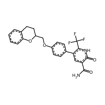 NC(=O)c1cc(-c2ccc(OCC3CCc4ccccc4O3)cc2)c(C(F)(F)F)[nH]c1=O